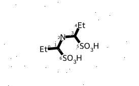 CCC([N]C(CC)S(=O)(=O)O)S(=O)(=O)O